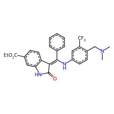 CCOC(=O)c1ccc2c(c1)NC(=O)/C2=C(\Nc1ccc(CN(C)C)c(C(F)(F)F)c1)c1ccccc1